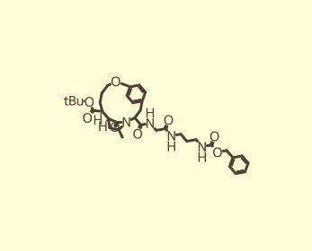 CC1C[C@H]2C(=O)N1C(C(=O)NCC(=O)NCCCNC(=O)OCc1ccccc1)Cc1ccc(cc1)OCCC[C@@H]2C(=O)OC(C)(C)C